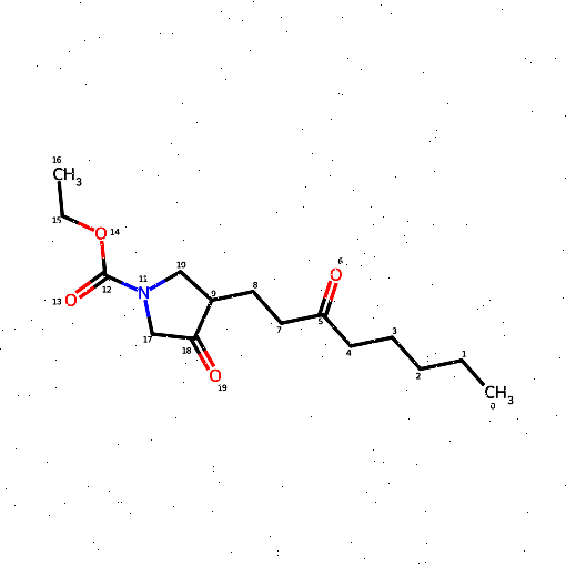 CCCCCC(=O)CCC1CN(C(=O)OCC)CC1=O